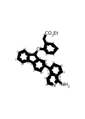 CCOC(=O)Cc1ccccc1OC1c2ccccc2-c2ccc(-c3cccc4c(N)nccc34)cc21